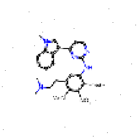 CNc1c(CCN(C)C)cc(Nc2nccc(-c3cn(C)c4ccccc34)n2)c(OC)c1[N+](=O)[O-]